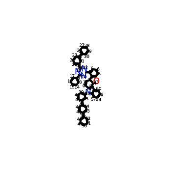 C1=CC2c3c(cccc3-c3nc(-c4ccccc4)nc(-c4cccc(-c5ccccc5)c4)n3)OC2c2c1n(-c1cccc(-c3ccc(-c4ccccc4)cc3)c1)c1ccccc21